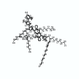 CC#CC#CC#CC#CC#CC#CC(CCCCCCCC)Cc1cc(-c2cc3c(cc(-c4cc(CC(CCCCCCCC)CCCCCCCCCC)c(-c5cc(F)c(-c6sc(C)cc6F)s5)s4)c(=O)n3CCCCCCCC)n(CCCCCCCC)c2=O)sc1C